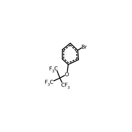 FC(F)(F)C(Oc1cccc(Br)c1)(C(F)(F)F)C(F)(F)F